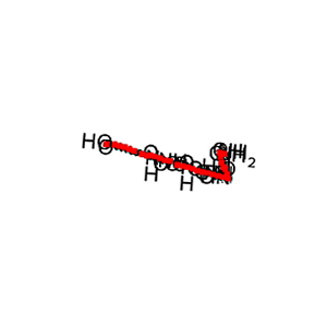 C[C@H](CCC(=O)NCCCC[C@H](NN)C(=O)O)NC(=O)CCCNC(=O)COCCOCCNC(=O)COCCOCCNC(=O)CCCNC(=O)CCCCCCCCCCCCCCCCC(=O)O